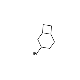 CC(C)C1CCC2CCC2C1